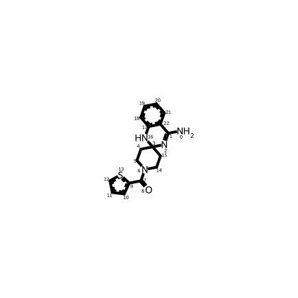 NC1=NC2(CCN(C(=O)c3cccs3)CC2)Nc2ccccc21